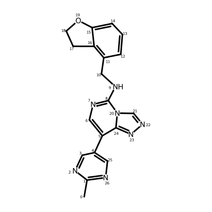 Cc1ncc(-c2cnc(NCc3cccc4c3CCO4)n3cnnc23)cn1